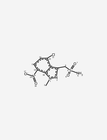 Cn1nc(CS(N)(=O)=O)c2c(Cl)ccc([N+](=O)[O-])c21